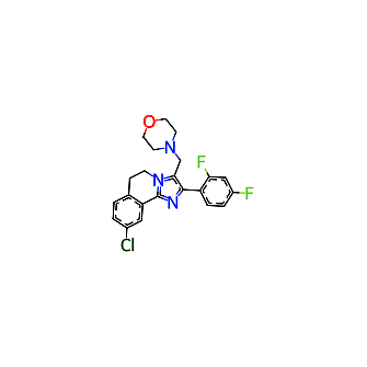 Fc1ccc(-c2nc3n(c2CN2CCOCC2)CCc2ccc(Cl)cc2-3)c(F)c1